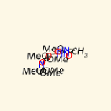 COc1cc(C2NC(=O)c3cc(C)ccc3N2)ccc1OCCCCCOc1c(OC)cc(-c2cc(-c3cc(OC)c(OC)c(OC)c3)no2)cc1OC